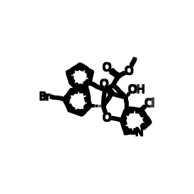 COC(=O)C1C(c2ccccc2)[C@]2(c3ccc(Br)cc3)Oc3cncc(Cl)c3[C@@]1(O)C2=O